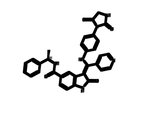 C[C@@H](NC(=O)c1ccc2c(c1)C(=C(Nc1ccc(N3C(=O)CNC3=O)cc1)c1ccncc1)C(=O)N2)c1ccccc1